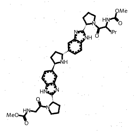 COC(=O)NCC(=O)N1CCC[C@H]1c1nc2cc([C@H]3CC[C@H](c4ccc5[nH]c([C@@H]6CCCN6C(=O)C(NC(=O)OC)C(C)C)nc5c4)N3)ccc2[nH]1